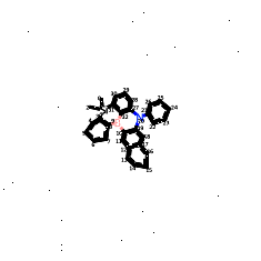 C[Si]1(C)c2ccccc2B2c3cc4ccccc4cc3N(c3ccccc3)c3cccc1c32